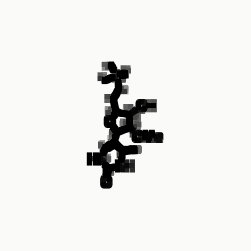 C=C1NC(=O)NC=C1C1OC(CCP(=C)(C)C)[C@@H](O)[C@H]1OC